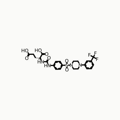 O=C(O)CC[C@@H](NC(=O)Nc1ccc(S(=O)(=O)N2CCN(c3cccc(C(F)(F)F)c3)CC2)cc1)C(=O)O